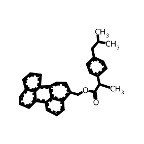 CC(C)Cc1ccc(C(C)C(=O)OCc2ccc3c4cccc5cccc(c6cccc2c63)c54)cc1